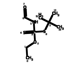 CCOP(=S)(NC=O)SC(C)(C)C